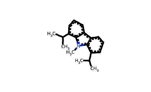 CC(C)c1cccc2c3cccc(C(C)C)c3n(C)c12